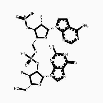 Nc1nc2c(ncn2[C@@H]2O[C@H](CO)[C@@H](F)[C@H]2OP(=O)(S)OC[C@H]2O[C@@H](n3ccc4c(N)ncnc43)[C@@H](F)[C@@H]2O[PH](=O)S)c(=O)[nH]1